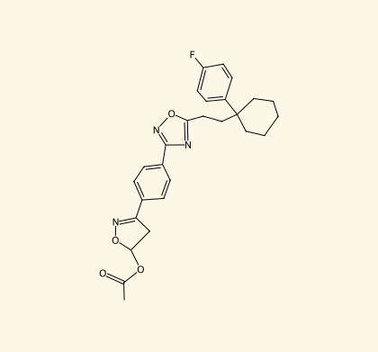 CC(=O)OC1CC(c2ccc(-c3noc(CCC4(c5ccc(F)cc5)CCCCC4)n3)cc2)=NO1